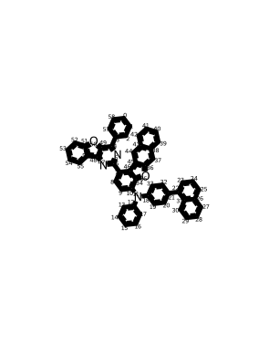 c1ccc(-c2nc(-c3ccc(N(c4ccccc4)c4ccc(-c5cccc6ccccc56)cc4)c4oc5cc6ccccc6cc5c34)nc3c2oc2ccccc23)cc1